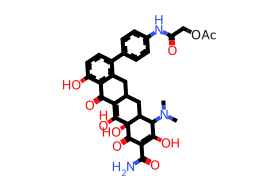 CC(=O)OCC(=O)Nc1ccc(-c2ccc(O)c3c2CC2CC4C(N(C)C)C(O)=C(C(N)=O)C(=O)C4(O)C(O)=C2C3=O)cc1